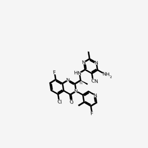 Cc1nc(N)c(C#N)c(N[C@@H](C)c2nc3c(F)ccc(Cl)c3c(=O)n2-c2cncc(F)c2C)n1